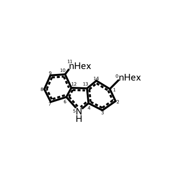 CCCCCCc1ccc2[nH]c3cccc(CCCCCC)c3c2c1